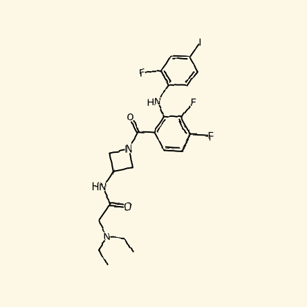 CCN(CC)CC(=O)NC1CN(C(=O)c2ccc(F)c(F)c2Nc2ccc(I)cc2F)C1